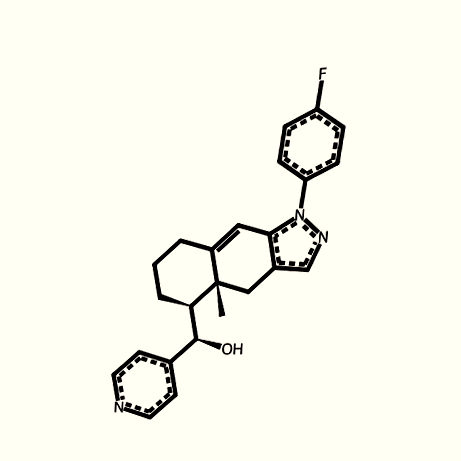 C[C@]12Cc3cnn(-c4ccc(F)cc4)c3C=C1CCC[C@@H]2[C@@H](O)c1ccncc1